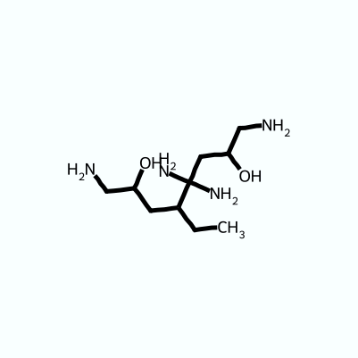 CCC(CC(O)CN)C(N)(N)CC(O)CN